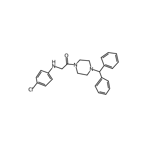 O=C(CNc1ccc(Cl)cc1)N1CCN(C(c2ccccc2)c2ccccc2)CC1